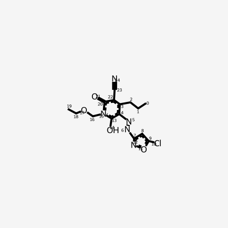 CCCc1c(N=Nc2cc(Cl)on2)c(O)n(COCC)c(=O)c1C#N